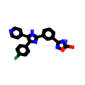 O=c1[nH]c(-c2cccc(-c3nc(-c4ccc(F)cc4)c(-c4ccncc4)[nH]3)c2)no1